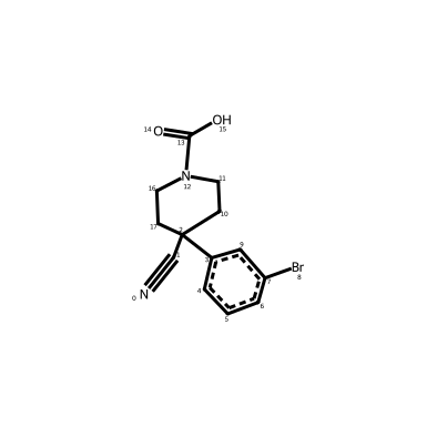 N#CC1(c2cccc(Br)c2)CCN(C(=O)O)CC1